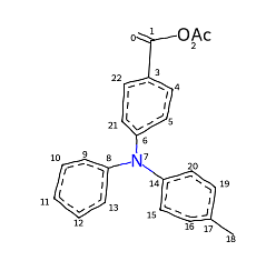 C=C(OC(C)=O)c1ccc(N(c2ccccc2)c2ccc(C)cc2)cc1